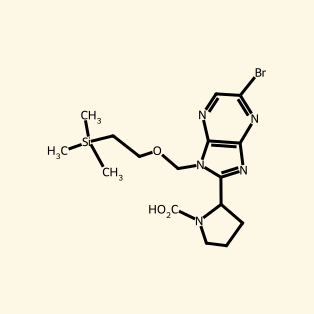 C[Si](C)(C)CCOCn1c(C2CCCN2C(=O)O)nc2nc(Br)cnc21